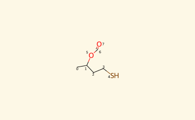 CC(CCS)OC=O